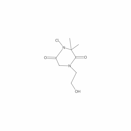 CC1(C)C(=O)N(CCO)CC(=O)N1Cl